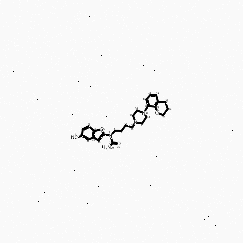 N#Cc1ccc2sc(N(CCCCN3CCN(c4cccc5c4OCCC5)CC3)C(N)=O)cc2c1